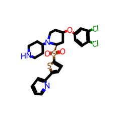 O=S(=O)(c1ccc(-c2ccccn2)s1)[C@@H]1CC(Oc2ccc(Cl)c(Cl)c2)CCN1C1CCNCC1